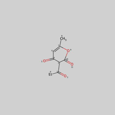 CCC(=O)C1C(=O)C=C(C)OC1=O